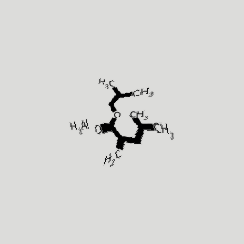 C=C(CC(C)C)C(=O)OCC(C)C.[AlH3]